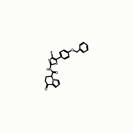 O=C1CCC(C(=O)Nc2nc(F)c(-c3ccc(OCc4ccccc4)cc3)s2)n2cccc21